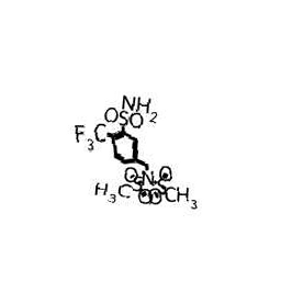 CS(=O)(=O)N(Cc1ccc(C(F)(F)F)c(S(N)(=O)=O)c1)S(C)(=O)=O